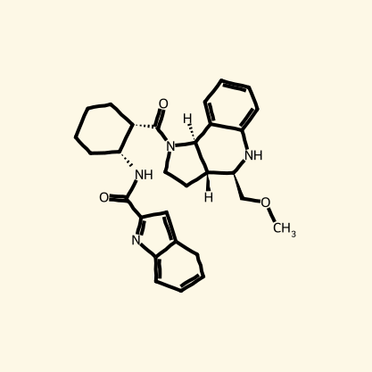 COC[C@@H]1Nc2ccccc2[C@H]2[C@H]1CCN2C(=O)[C@H]1CCCC[C@H]1NC(=O)C1=NC2=CC=CCC2=C1